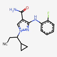 N#CCC(C1CC1)n1cc(C(N)=O)c(Nc2ccccc2F)n1